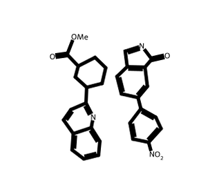 COC(=O)C1CCCC(c2ccc3ccccc3n2)C1.O=C1N=Cc2ccc(-c3ccc([N+](=O)[O-])cc3)cc21